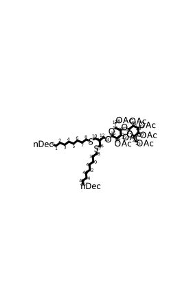 CCCCCCCCCCCCCCCCCCSCC(CO[C@H]1O[C@H](COC(C)=O)[C@@H](O[C@@H]2O[C@H](COC(C)=O)[C@H](OC(C)=O)[C@H](OC(C)=O)[C@H]2OC(C)=O)[C@H](OC(C)=O)[C@H]1OC(C)=O)CSCCCCCCCCCCCCCCCCCC